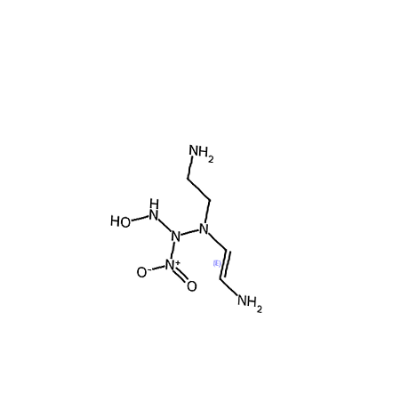 N/C=C/N(CCN)N(NO)[N+](=O)[O-]